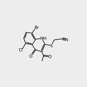 CC(=O)c1c(SCC#N)[nH]c2c(Br)ccc(Cl)c2c1=O